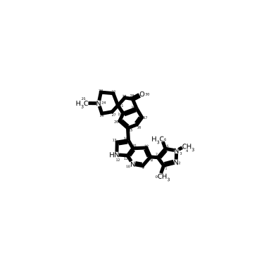 Cc1nn(C)c(C)c1-c1cnc2[nH]cc(-c3ccc4c(c3)C3(CCN(C)CC3)CC4=O)c2c1